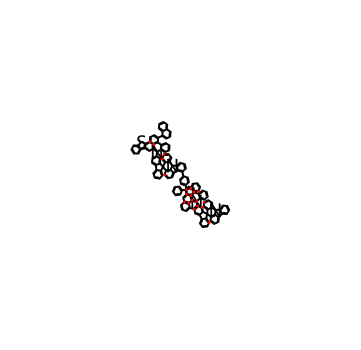 c1ccc(C2(c3ccc(-c4cccc5c4c4cccc6c4n5-c4ccccc4C64c5ccccc5-c5ccc(N(c6ccc7sc8ccccc8c7c6)c6ccccc6-c6ccccc6-c6cccc7ccccc67)cc54)cc3)c3ccccc3-c3c(N(c4ccc5c(c4)C4(c6ccccc6-5)c5ccccc5-n5c6ccccc6c6cccc4c65)c4ccccc4-c4ccccc4-c4cccc5ccccc45)cccc32)cc1